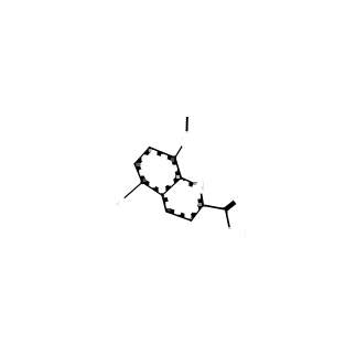 COc1ccc(Br)c2ccc(C(=O)O)nc12